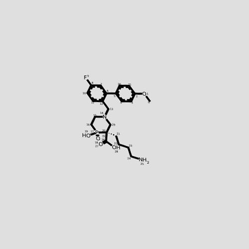 COc1ccc(-c2cc(F)ccc2CN2CCP(=O)(O)[C@](CCCCN)(C(=O)O)C2)cc1